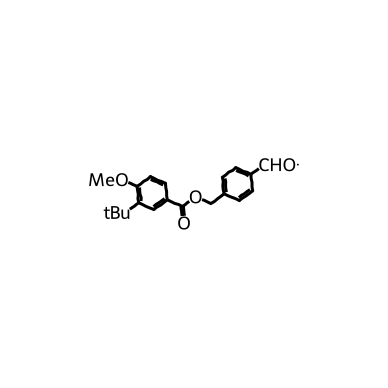 COc1ccc(C(=O)OCc2ccc([C]=O)cc2)cc1C(C)(C)C